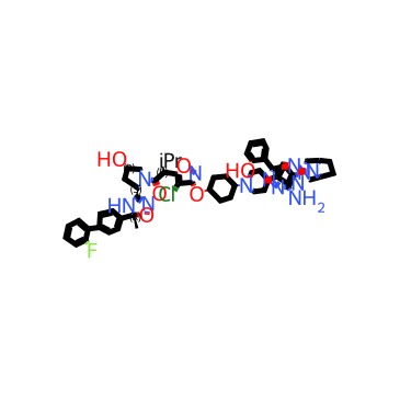 CC(C)[C@@H](C(=O)N1C[C@H](O)C[C@H]1C1=NO[C@](C)(c2ccc(-c3ccccc3F)cc2)N1)c1onc(O[C@H]2CC[C@@H](N3CCC(c4cnc(N5C6CCC5CN(c5cc(-c7ccccc7O)nnc5N)C6)nc4)CC3)CC2)c1Cl